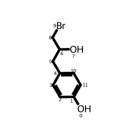 Oc1ccc(CC(O)CBr)cc1